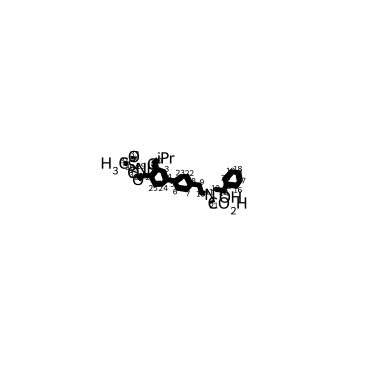 CC(C)Oc1cc(-c2ccc(CCN(C[C@@H](O)c3ccccc3)C(=O)O)cc2)ccc1C(=O)NS(C)(=O)=O